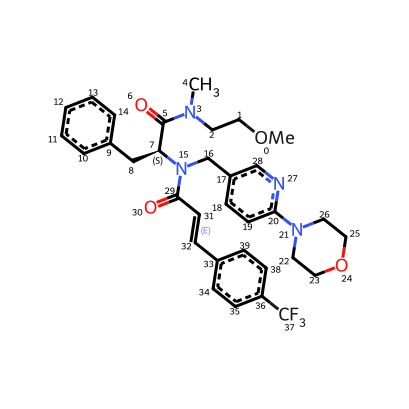 COCCN(C)C(=O)[C@H](Cc1ccccc1)N(Cc1ccc(N2CCOCC2)nc1)C(=O)/C=C/c1ccc(C(F)(F)F)cc1